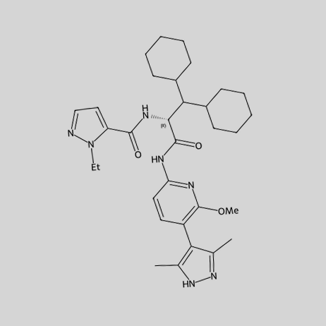 CCn1nccc1C(=O)N[C@@H](C(=O)Nc1ccc(-c2c(C)n[nH]c2C)c(OC)n1)C(C1CCCCC1)C1CCCCC1